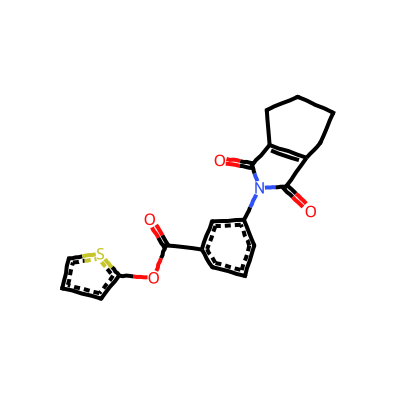 O=C(Oc1cccs1)c1cccc(N2C(=O)C3=C(CCCC3)C2=O)c1